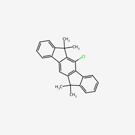 CC1(C)c2ccccc2-c2c1cc1c(c2Cl)C(C)(C)c2ccccc2-1